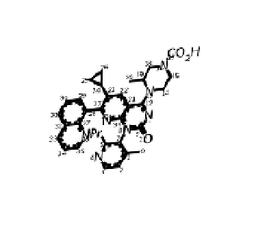 Cc1ccnc(C(C)C)c1-n1c(=O)nc(N2CCN(C(=O)O)CC2C)c2cc(C3CC3)c(-c3cccc4cccnc34)nc21